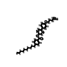 C=CCCCCCCCCc1ccc(C(=O)Oc2cnc(-c3ccc(OCCCC(C)CC)cc3)cn2)cc1